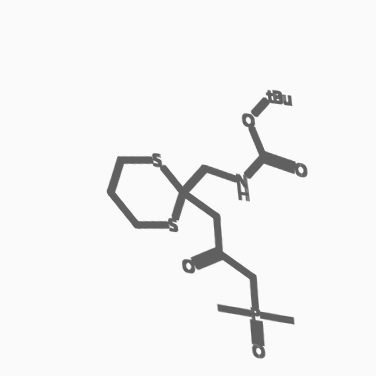 CC(C)(C)OC(=O)NCC1(CC(=O)CP(C)(C)=O)SCCCS1